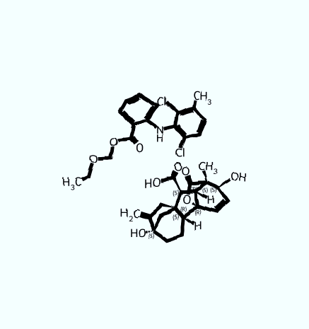 C=C1C[C@]23C[C@@]1(O)CC[C@H]2[C@@]12C=C[C@H](O)[C@@](C)(C(=O)O1)[C@H]2[C@@H]3C(=O)O.CCOCOC(=O)c1ccccc1Nc1c(Cl)ccc(C)c1Cl